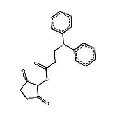 O=C(CCP(c1ccccc1)c1ccccc1)OC1C(=O)CCC1=O